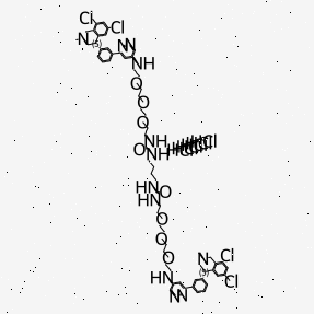 CN1Cc2c(Cl)cc(Cl)cc2[C@H](c2cccc(-c3cc(NCCOCCOCCOCCNC(=O)NCCCCNC(=O)NCCOCCOCCOCCNc4cnnc(-c5cccc([C@@H]6CN(C)Cc7c(Cl)cc(Cl)cc76)c5)c4)cnn3)c2)C1.Cl.Cl.Cl.Cl.Cl.Cl